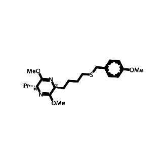 COC1=N[C@H](C(C)C)C(OC)=N[C@H]1CCCCSCc1ccc(OC)cc1